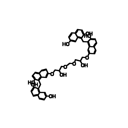 Oc1ccc2ccc(O)c(Cc3c(O)ccc4ccc(OCC(O)COCOCC(O)COc5ccc6ccc(O)c(Cc7c(O)ccc8ccc(O)cc78)c6c5)cc34)c2c1